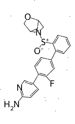 Nc1ccc(-c2ccc(-c3ccccc3[S+]([O-])N3CC4CC3CO4)cc2F)cn1